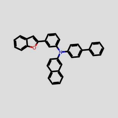 c1ccc(-c2ccc(N(c3cccc(-c4cc5ccccc5o4)c3)c3ccc4ccccc4c3)cc2)cc1